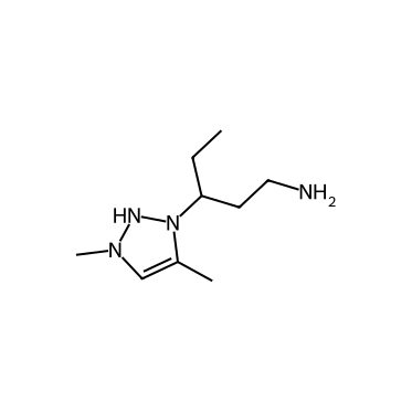 CCC(CCN)N1NN(C)C=C1C